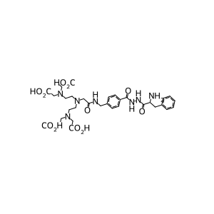 NC(Cc1ccccc1)C(=O)NNC(=O)c1ccc(CNC(=O)CN(CCN(CC(=O)O)CC(=O)O)CCN(CC(=O)O)CC(=O)O)cc1